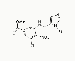 CCn1cncc1CNc1cc(C(=O)OC)cc(Cl)c1[N+](=O)[O-]